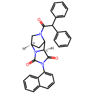 O=C1[C@@H]2C3C[C@H](CN3C(=O)C(c3ccccc3)c3ccccc3)N2C(=O)N1c1cccc2ccccc12